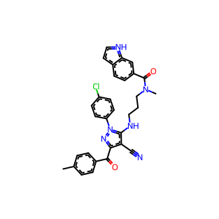 Cc1ccc(C(=O)c2nn(-c3ccc(Cl)cc3)c(NCCCN(C)C(=O)c3ccc4cc[nH]c4c3)c2C#N)cc1